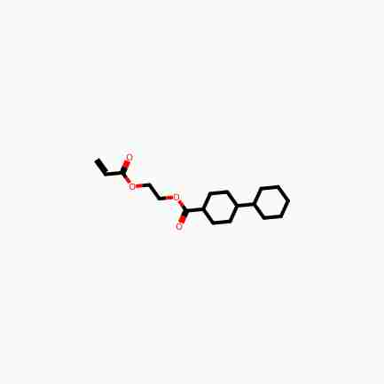 C=CC(=O)OCCOC(=O)C1CCC(C2CCCCC2)CC1